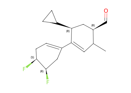 CC1C=C(C2=CC[C@H](F)[C@H](F)C2)[C@@H](C2CC2)C[C@H]1C=O